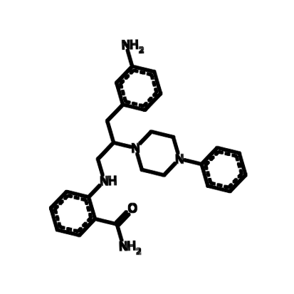 NC(=O)c1ccccc1NCC(Cc1cccc(N)c1)N1CCN(c2ccccc2)CC1